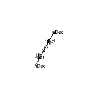 CCCCCCCCCCCCCCCCNC(=O)NCCCOCCOCCCNC(=O)NCCCCCCCCCCCCCCCC